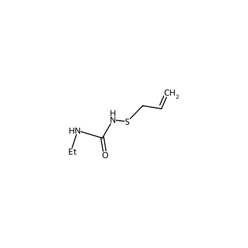 C=CCSNC(=O)NCC